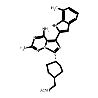 CC(=O)NC[C@H]1CC[C@H](c2nc(-c3cc4cccc(C)c4[nH]3)c3c(N)nc(N)nn32)CC1